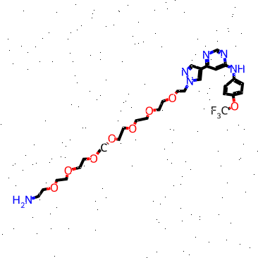 NCCOCCOCCOCCOCCOCCOCCOCCn1cc(-c2cc(Nc3ccc(OC(F)(F)F)cc3)ncn2)cn1